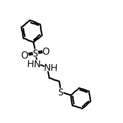 O=S(=O)(NNCCSc1ccccc1)c1ccccc1